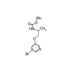 CC(COc1cncc(Br)c1)NC(=O)OC(C)(C)C